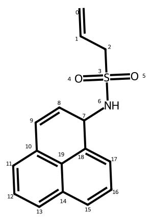 C=CCS(=O)(=O)NC1C=Cc2cccc3cccc1c23